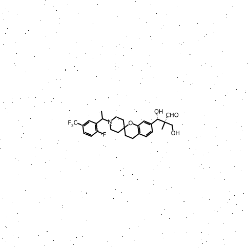 CC(c1cc(C(F)(F)F)ccc1F)N1CCC2(CCc3ccc([C@H](O)[C@@](C)(C=O)CO)cc3O2)CC1